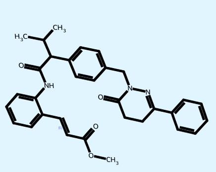 COC(=O)/C=C/c1ccccc1NC(=O)C(c1ccc(CN2N=C(c3ccccc3)CCC2=O)cc1)C(C)C